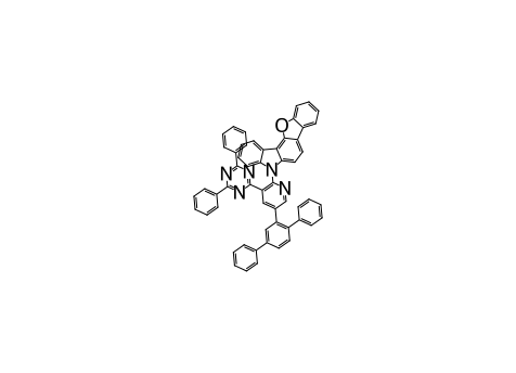 c1ccc(-c2ccc(-c3ccccc3)c(-c3cnc(-n4c5ccccc5c5c6oc7ccccc7c6ccc54)c(-c4nc(-c5ccccc5)nc(-c5ccccc5)n4)c3)c2)cc1